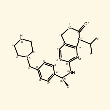 CC(C)N1C(=O)OCc2cnc(N[C@@H](C)c3ccc(CN4CCNCC4)cc3)nc21